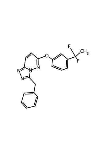 CC(F)(F)c1cccc(Oc2ccc3nnc(Cc4ccccc4)n3n2)c1